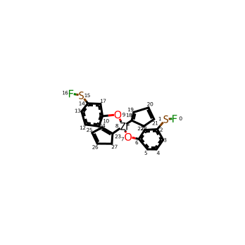 FSc1cccc([O][Zr]([O]c2cccc(SF)c2)([C]2=CC=CC2)[C]2=CC=CC2)c1